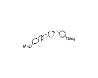 COc1ccc(CNCC2(C)CCN(Cc3ccc(OC)cc3)CC2)cc1